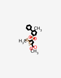 COC(=O)c1cc(S(=O)(=O)c2ccc(C)c(-c3ccccc3)c2)c(SC)s1